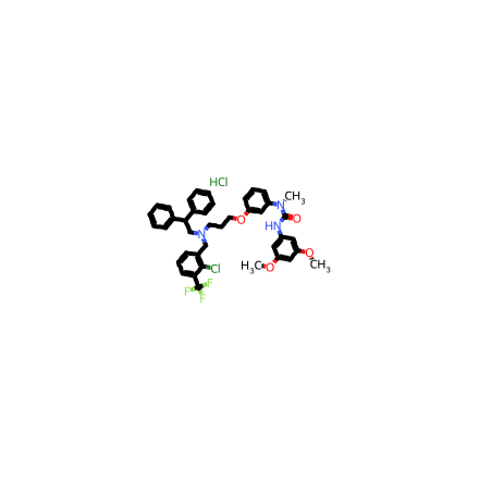 COc1cc(NC(=O)N(C)c2cccc(OCCCN(Cc3cccc(C(F)(F)F)c3Cl)CC(c3ccccc3)c3ccccc3)c2)cc(OC)c1.Cl